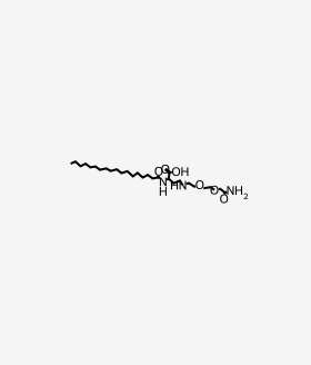 CCCCCCCCCCCCCCCCCC(=O)NC(CCNCCOCCOCC(N)=O)C(=O)O